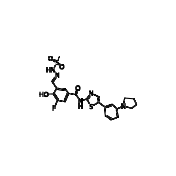 CS(=O)(=O)NN=Cc1cc(C(=O)Nc2ncc(-c3cccc(N4CCCC4)c3)s2)cc(F)c1O